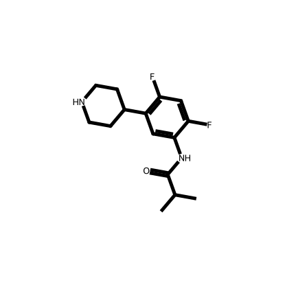 CC(C)C(=O)Nc1cc(C2CCNCC2)c(F)cc1F